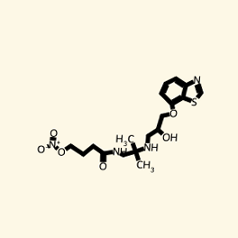 CC(C)(CNC(=O)CCCO[N+](=O)[O-])NCC(O)COc1cccc2ncsc12